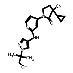 CC(C)(CO)n1cc(Nc2cc(N3CCC(C#N)(C4CC4)C3=O)ccn2)cn1